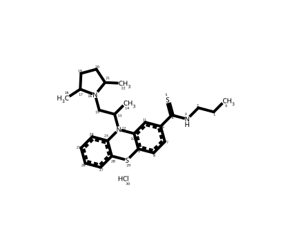 CCCNC(=S)c1ccc2c(c1)N(C(C)CN1C(C)CCC1C)c1ccccc1S2.Cl